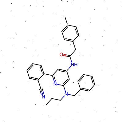 CCCN(Cc1ccccc1)c1cc(NC(=O)Cc2ccc(C)cc2)cc(-c2ccccc2C#N)n1